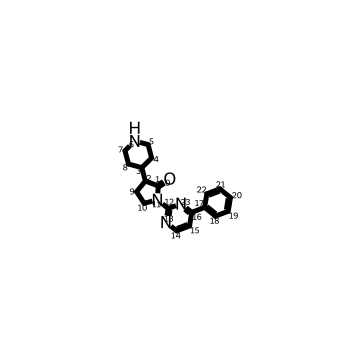 O=C1C(C2CCNCC2)CCN1c1nccc(-c2ccccc2)n1